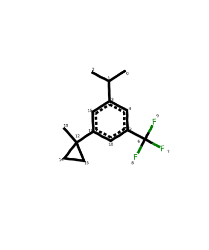 CC(C)c1cc(C(F)(F)F)cc(C2(C)CC2)c1